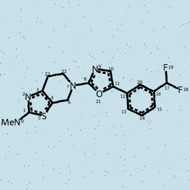 CNc1nc2c(s1)CN(c1ncc(-c3cccc(C(F)F)c3)o1)CC2